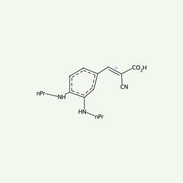 CCCNc1ccc(/C=C(\C#N)C(=O)O)cc1NCCC